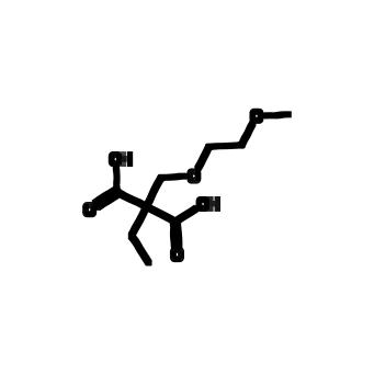 CCC(COCCOC)(C(=O)O)C(=O)O